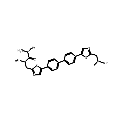 CCCN(C)Cc1ncc(-c2ccc(-c3ccc(-c4cnc(CN(CCC)C(=O)[C@@H](N)C(C)C)s4)cc3)cc2)s1